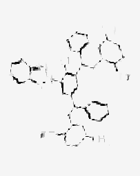 CC1CCC(C(C)C)C(CC(c2ccccc2)c2cc(C(CC3CC(C)CCC3C(C)C)c3ccccc3)c(O)c(-n3nc4ccccc4n3)c2)C1